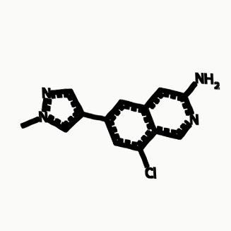 Cn1cc(-c2cc(Cl)c3cnc(N)cc3c2)cn1